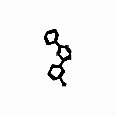 Brc1cccc(-c2ncnc(-c3ccccc3)n2)c1